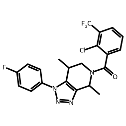 CC1CN(C(=O)c2cccc(C(F)(F)F)c2Cl)C(C)c2nnn(-c3ccc(F)cc3)c21